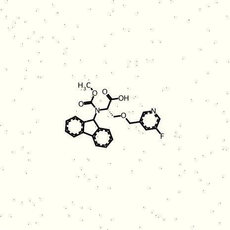 COC(=O)N(C1c2ccccc2-c2ccccc21)[C@@H](COCc1cncc(F)c1)C(=O)O